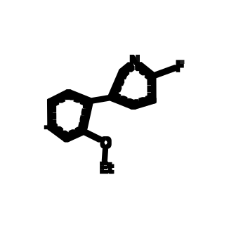 CCOc1c[c]ccc1-c1ccc(F)nc1